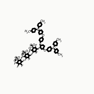 Cc1ccc([S+](c2ccc(C)cc2)c2ccc(Oc3ccc([I+]c4ccc(Oc5ccc([S+](c6ccc(C)cc6)c6ccc(C)cc6)cc5)cc4)cc3)cc2)cc1.O=S(=O)([O-])c1c(F)c(F)c(F)c(F)c1F.O=S(=O)([O-])c1c(F)c(F)c(F)c(F)c1F.O=S(=O)([O-])c1c(F)c(F)c(F)c(F)c1F